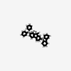 CCCC1(C)c2cc(N(c3ccccc3)c3ccccc3)ccc2-c2ccc(-n3c4ccccc4c4ccccc43)cc21